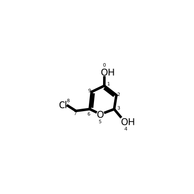 OC1=CC(O)OC(CCl)=C1